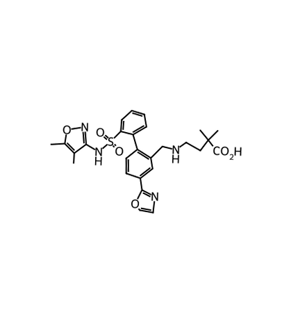 Cc1onc(NS(=O)(=O)c2ccccc2-c2ccc(-c3ncco3)cc2CNCCC(C)(C)C(=O)O)c1C